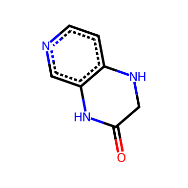 O=C1CNc2ccncc2N1